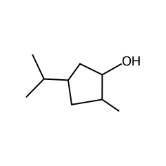 CC(C)C1CC(C)C(O)C1